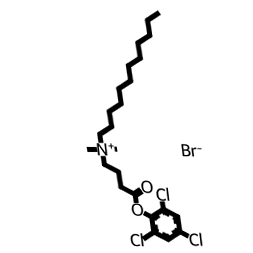 CCCCCCCCCCCC[N+](C)(C)CCCC(=O)Oc1c(Cl)cc(Cl)cc1Cl.[Br-]